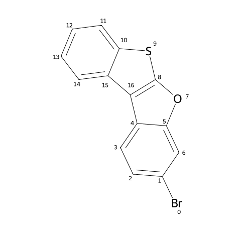 Brc1ccc2c(c1)oc1sc3ccccc3c12